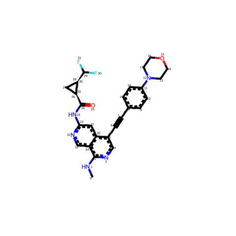 CNc1ncc(C#Cc2ccc(N3CCOCC3)cc2)c2cc(NC(=O)[C@H]3C[C@H]3C(F)F)ncc12